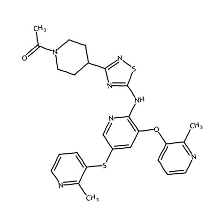 CC(=O)N1CCC(c2nsc(Nc3ncc(Sc4cccnc4C)cc3Oc3cccnc3C)n2)CC1